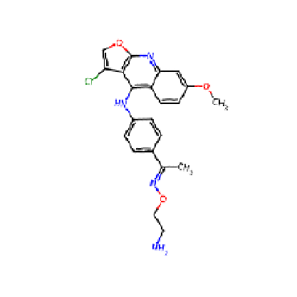 COc1ccc2c(Nc3ccc(/C(C)=N/OCCN)cc3)c3c(Cl)coc3nc2c1